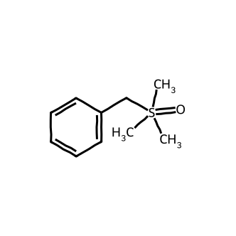 CS(C)(C)(=O)Cc1ccccc1